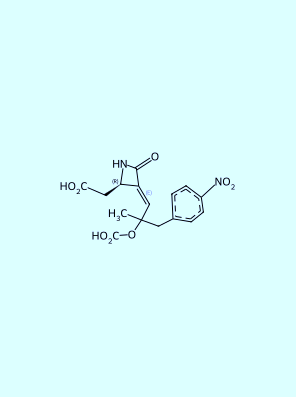 CC(/C=C1/C(=O)N[C@@H]1CC(=O)O)(Cc1ccc([N+](=O)[O-])cc1)OC(=O)O